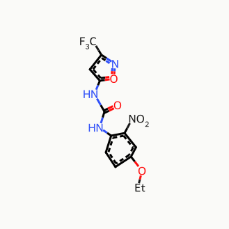 CCOc1ccc(NC(=O)Nc2cc(C(F)(F)F)no2)c([N+](=O)[O-])c1